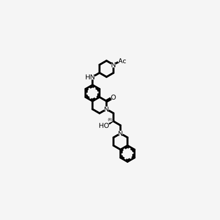 CC(=O)N1CCC(Nc2ccc3c(c2)C(=O)N(C[C@H](O)CN2CCc4ccccc4C2)CC3)CC1